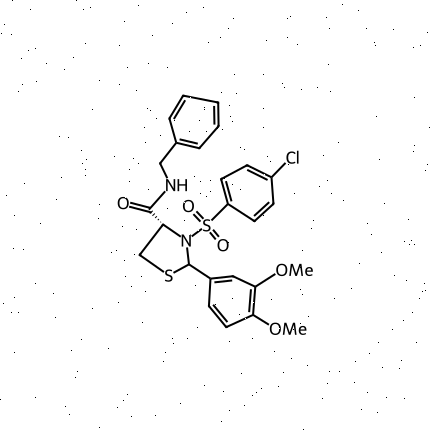 COc1ccc(C2SC[C@H](C(=O)NCc3ccccc3)N2S(=O)(=O)c2ccc(Cl)cc2)cc1OC